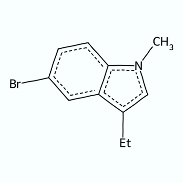 [CH2]Cc1cn(C)c2ccc(Br)cc12